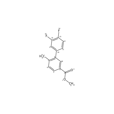 COC(=O)c1ccc(C)c(-c2ccc(F)c(F)c2)c1